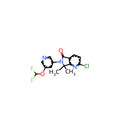 CC1(C)c2nc(Cl)ccc2C(=O)N1c1cncc(OC(F)F)c1